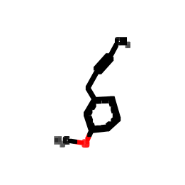 CC#CCc1cccc(OC)c1